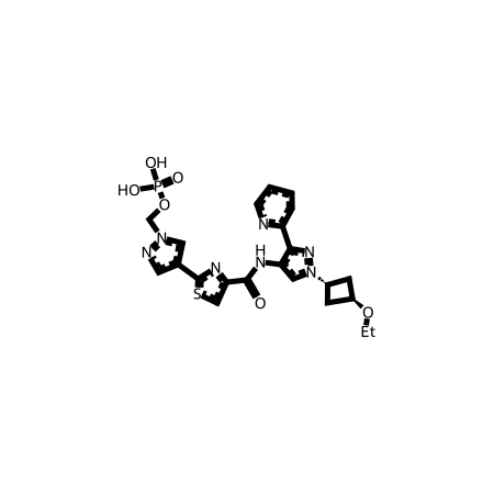 CCO[C@H]1C[C@H](n2cc(NC(=O)c3csc(-c4cnn(COP(=O)(O)O)c4)n3)c(-c3ccccn3)n2)C1